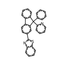 c1ccc(C2(c3ccccn3)c3ccccc3-c3ccc(-c4nc5ccccc5s4)cc32)cc1